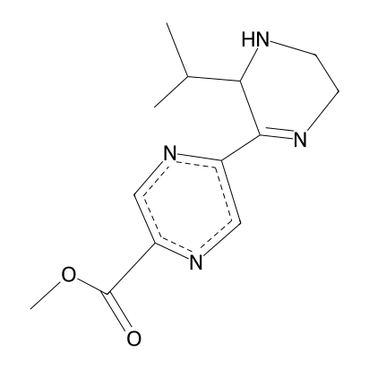 COC(=O)c1cnc(C2=NCCNC2C(C)C)cn1